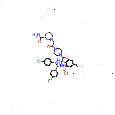 CCOc1cc(C(F)(F)F)ccc1C1(C(=O)N2CCN(C(=O)CN3CCCC(C(N)=O)C3)CC2)NC(c2ccc(Cl)cc2)C(c2ccc(Cl)cc2)N1